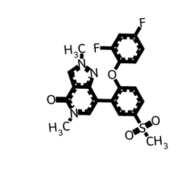 Cn1cc2c(=O)n(C)cc(-c3cc(S(C)(=O)=O)ccc3Oc3ccc(F)cc3F)c2n1